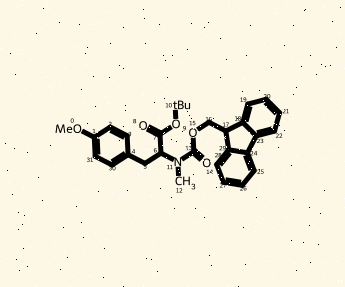 COc1ccc(CC(C(=O)OC(C)(C)C)N(C)C(=O)OCC2c3ccccc3-c3ccccc32)cc1